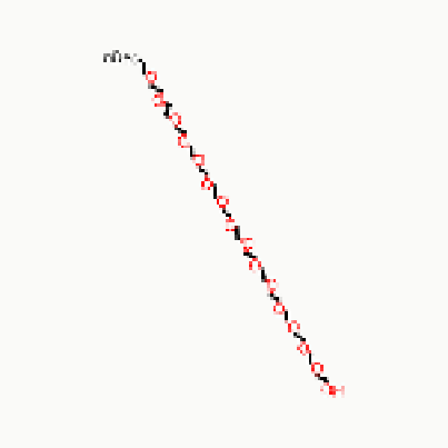 CCCCCCCCCCCCOCCOCCOCCOCCOCCOCCOCCOCCOCCOCCOCCOCCOCCOCCOCCO